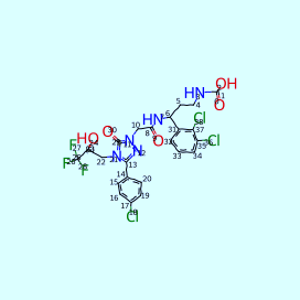 O=C(O)NCCC(NC(=O)Cn1nc(-c2ccc(Cl)cc2)n(C[C@H](O)C(F)(F)F)c1=O)c1cccc(Cl)c1Cl